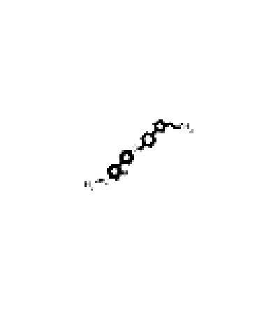 CCCC1CCC(C2CCC(COc3ccc(-c4ccc(OCC)c(F)c4F)cc3)CC2)C1